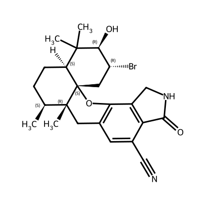 C[C@H]1CC[C@H]2C(C)(C)[C@@H](O)[C@H](Br)C[C@]23Oc2c(cc(C#N)c4c2CNC4=O)C[C@]13C